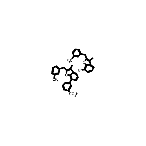 Cc1c(Cc2cccc(C(F)(F)F)c2)oc2c(-c3cccc(C(=O)O)c3)cccc12.Cc1c(Cc2cccc(C(F)(F)F)c2)oc2c(Br)cccc12